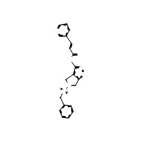 O=C(/C=C/c1cccnc1)Nc1[nH]nc2c1CN(S(=O)(=O)Cc1ccccc1)C2